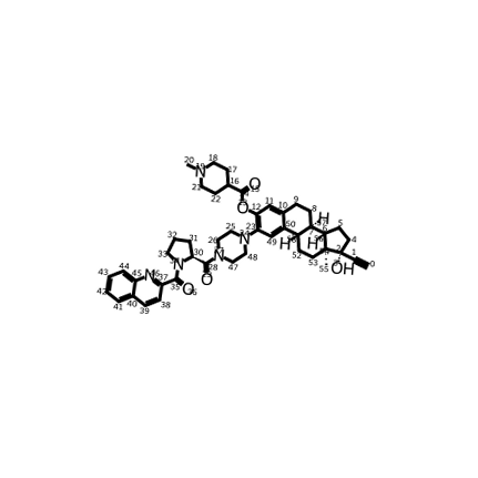 C#C[C@]1(O)CC[C@H]2[C@@H]3CCc4cc(OC(=O)C5CCN(C)CC5)c(N5CCN(C(=O)[C@@H]6CCCN6C(=O)c6ccc7ccccc7n6)CC5)cc4[C@H]3CC[C@@]21C